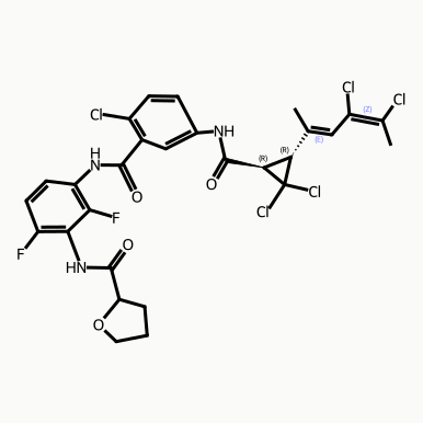 C/C(Cl)=C(Cl)\C=C(/C)[C@H]1[C@H](C(=O)Nc2ccc(Cl)c(C(=O)Nc3ccc(F)c(NC(=O)C4CCCO4)c3F)c2)C1(Cl)Cl